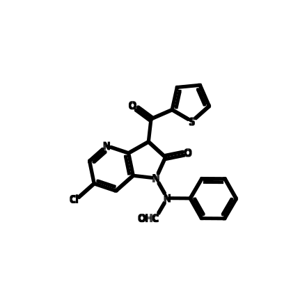 O=CN(c1ccccc1)N1C(=O)C(C(=O)c2cccs2)c2ncc(Cl)cc21